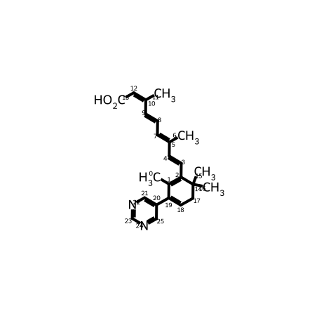 CC1=C(/C=C/C(C)=C/C=C/C(C)=C\C(=O)O)C(C)(C)CC=C1c1cncnc1